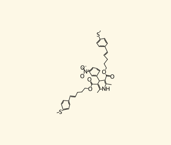 CSc1ccc(/C=C/CCCOC(=O)C2=C(C)NC(C)=C(C(=O)OCCC/C=C/c3ccc(SC)cc3)C2c2cccc([N+](=O)[O-])c2)cc1